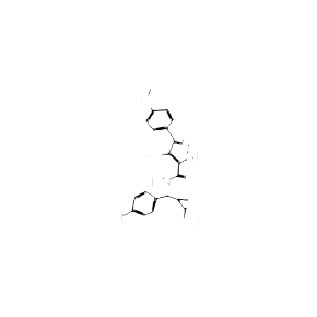 COc1ccc(-c2n[nH]c(C(=O)N[C@@H](c3ccc(Cl)cc3)C3OC3O)c2O)cc1